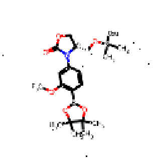 CC1(C)OB(c2ccc(N3C(=O)OC[C@@H]3CO[Si](C)(C)C(C)(C)C)cc2OC(F)(F)F)OC1(C)C